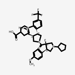 COC[C@@H]1CN(C(=O)[C@]2(F)CN(C3CCCC3)C[C@H]2c2ccc(OC)cc2)C[C@H]1c1ccc(C(F)(F)F)cc1N1CCC(C(=O)O)CC1